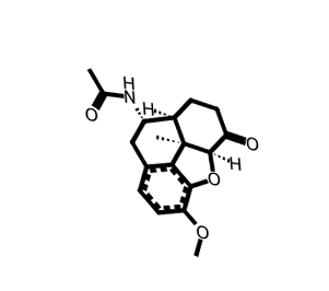 COc1ccc2c3c1O[C@@H]1C(=O)CC[C@H]([C@@H](NC(C)=O)C2)[C@]31C